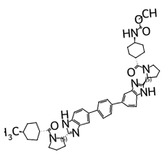 COC(=O)N[C@H]1CC[C@H](C(=O)N2CCC[C@H]2c2nc3cc(-c4ccc(-c5ccc6[nH]c([C@@H]7CCCN7C(=O)[C@H]7CC[C@H](C)CC7)nc6c5)cc4)ccc3[nH]2)CC1